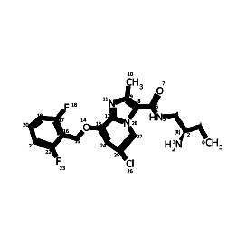 CC[C@@H](N)CNC(=O)c1c(C)nc2c(OCc3c(F)cccc3F)cc(Cl)cn12